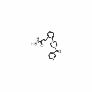 O=C(C=Cc1ccccc1N1CCN(C(=O)c2cccnc2)CC1)NO